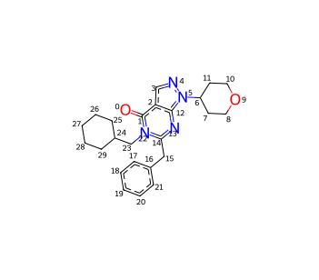 O=c1c2cnn(C3CCOCC3)c2nc(Cc2ccccc2)n1CC1CCCCC1